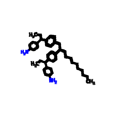 CCCCCCCCCCC(Cc1ccc(C(CC)c2ccc(N)cc2)cc1)c1ccc(C(CC)c2ccc(N)cc2)cc1